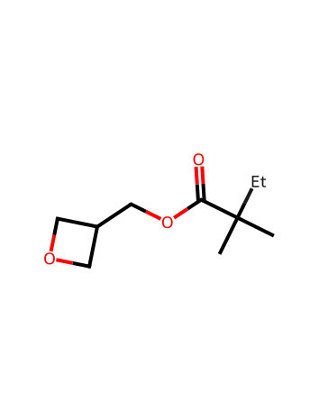 CCC(C)(C)C(=O)OCC1COC1